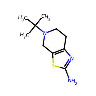 CC(C)(C)N1CCc2nc(N)sc2C1